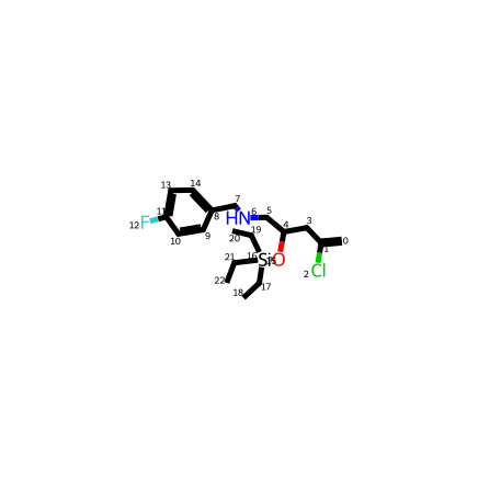 C=C(Cl)CC(CNCc1ccc(F)cc1)O[Si](CC)(CC)CC